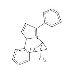 CC12CC1(C)[N+]1=C(c3ccccc3)C=CC1c1ccccc12